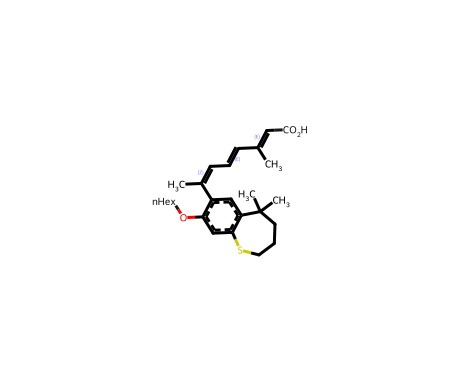 CCCCCCOc1cc2c(cc1\C(C)=C/C=C/C(C)=C/C(=O)O)C(C)(C)CCCS2